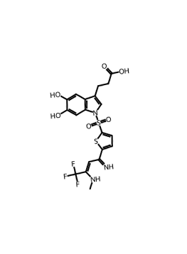 CN/C(=C\C(=N)c1ccc(S(=O)(=O)n2cc(CCC(=O)O)c3cc(O)c(O)cc32)s1)C(F)(F)F